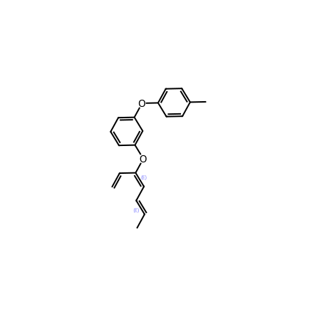 C=C/C(=C\C=C\C)Oc1cccc(Oc2ccc(C)cc2)c1